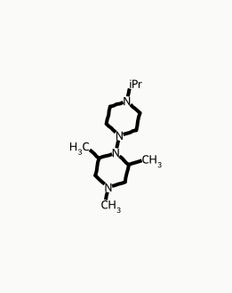 CC(C)N1CCN(N2C(C)CN(C)CC2C)CC1